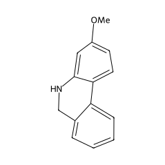 COc1ccc2c(c1)NCc1ccccc1-2